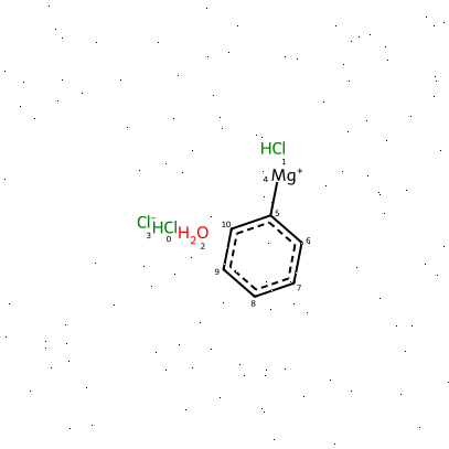 Cl.Cl.O.[Cl-].[Mg+][c]1ccccc1